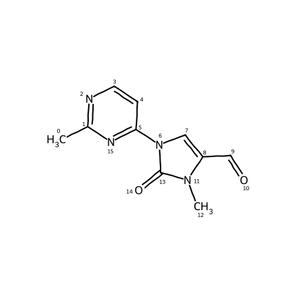 Cc1nccc(-n2cc(C=O)n(C)c2=O)n1